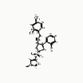 Cn1cnc(S(=O)(=O)N2CC(NCc3ccc(C(F)(F)F)cc3Cl)C(c3ccccc3F)C2)c1